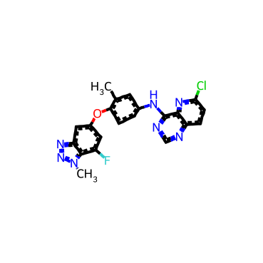 Cc1cc(Nc2ncnc3ccc(Cl)nc23)ccc1Oc1cc(F)c2c(c1)nnn2C